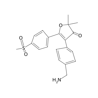 CC1(C)OC(c2ccc(S(C)(=O)=O)cc2)=C(c2ccc(CN)cc2)C1=O